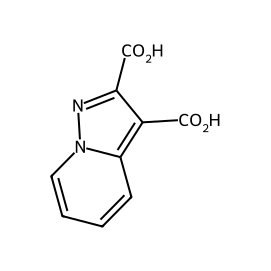 O=C(O)c1nn2ccccc2c1C(=O)O